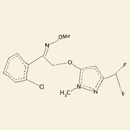 CON=C(COc1cc(C(F)F)nn1C)c1ccccc1Cl